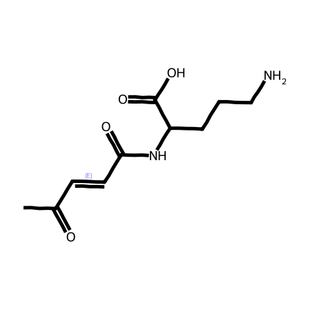 CC(=O)/C=C/C(=O)NC(CCCN)C(=O)O